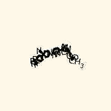 CC(=O)OCc1nnc(-c2ccc(N3CCC(C#N)(c4ccc(S(F)(F)(F)(F)F)cc4)CC3)nn2)o1